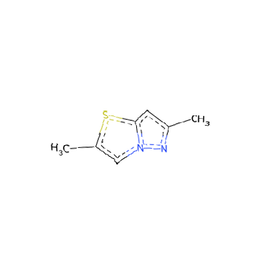 Cc1cc2sc(C)cn2n1